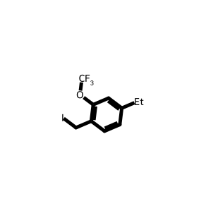 CCc1ccc(CI)c(OC(F)(F)F)c1